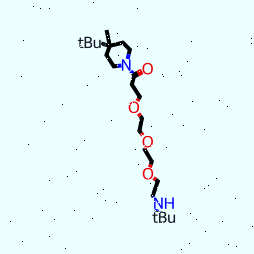 CC(C)(C)NCCOCCOCCOCCC(=O)N1CCC(C)(C(C)(C)C)CC1